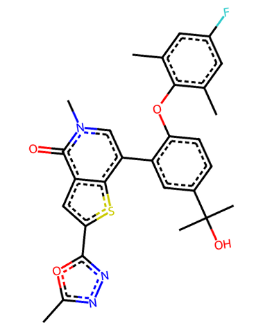 Cc1nnc(-c2cc3c(=O)n(C)cc(-c4cc(C(C)(C)O)ccc4Oc4c(C)cc(F)cc4C)c3s2)o1